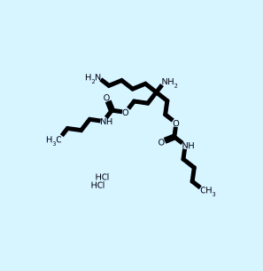 CCCCNC(=O)OCCC(N)(CCCCN)CCOC(=O)NCCCC.Cl.Cl